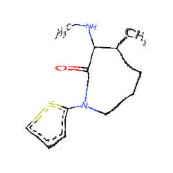 CNC1C(=O)N(c2cccs2)CCCC1C